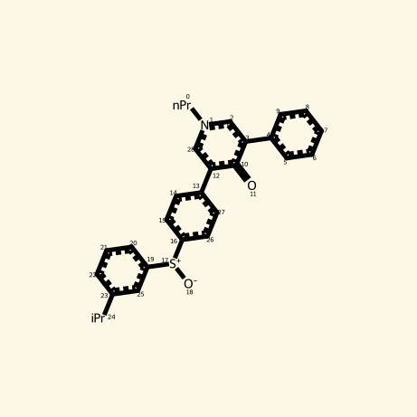 CCCn1cc(-c2ccccc2)c(=O)c(-c2ccc([S+]([O-])c3cccc(C(C)C)c3)cc2)c1